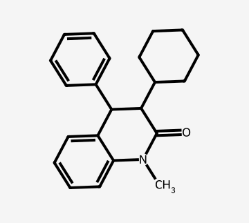 CN1C(=O)C(C2CCCCC2)C(c2ccccc2)c2ccccc21